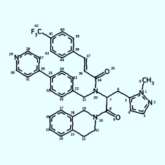 Cn1nccc1CC(C(=O)N1CCc2ccccc2C1)N(Cc1ccc(-c2ccncc2)cc1)C(=O)C=Cc1ccc(C(F)(F)F)cc1